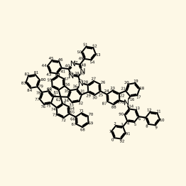 c1ccc(-c2cc(-c3ccccc3)cc(-n3c4ccccc4c4cc(-c5ccc6c(c5)c5ccc7c(c5n6-c5nc(-c6ccccc6)nc(-c6ccccc6)n5)-c5ccccc5C75c6cc(-c7ccccc7)ccc6-c6ccc(-c7ccccc7)cc65)ccc43)c2)cc1